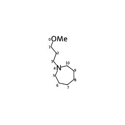 COCCCN1CCCCCC1